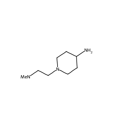 CNCCN1CCC(N)CC1